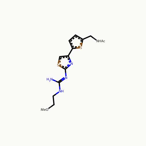 COCCN/C(N)=N/c1nc(-c2ccc(CNC(C)=O)s2)cs1